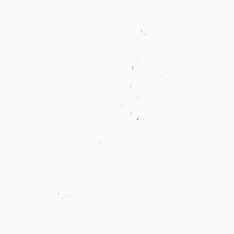 CC(C)C(N)C(=O)O[C@@H]1CO[C@H]2[C@@H]1OC[C@H]2OC(=O)CCCCCO[N+](=O)[O-]